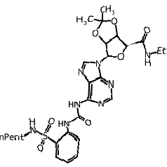 CCCCCNS(=O)(=O)c1ccccc1NC(=O)Nc1ncnc2c1ncn2[C@@H]1O[C@H](C(=O)NCC)C2OC(C)(C)OC21